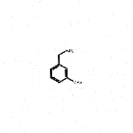 COc1cccc(C[AsH2])c1